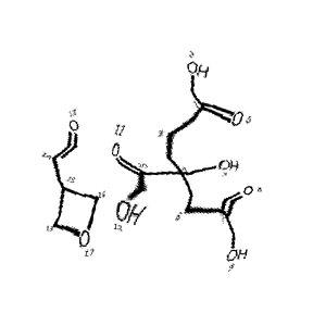 O=C(O)CC(O)(CC(=O)O)C(=O)O.O=CC1COC1